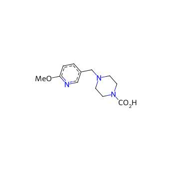 COc1ccc(CN2CCN(C(=O)O)CC2)cn1